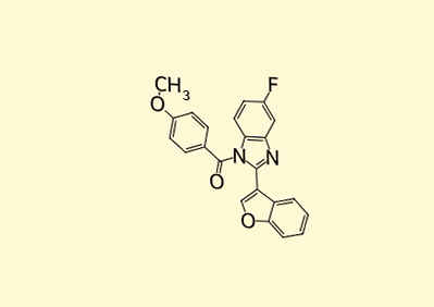 COc1ccc(C(=O)n2c(-c3coc4ccccc34)nc3cc(F)ccc32)cc1